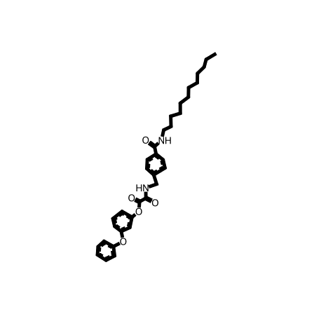 CCCCCCCCCCCCNC(=O)c1ccc(CNC(=O)C(=O)Oc2cccc(Oc3ccccc3)c2)cc1